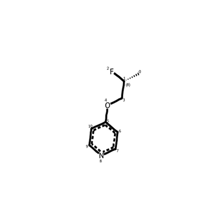 C[C@@H](F)COc1ccncc1